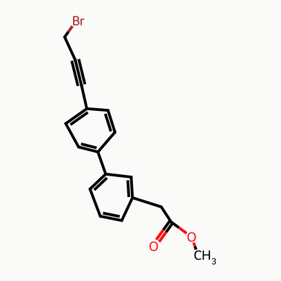 COC(=O)Cc1cccc(-c2ccc(C#CCBr)cc2)c1